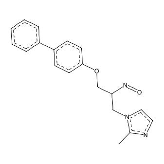 Cc1nccn1CC(COc1ccc(-c2ccccc2)cc1)N=O